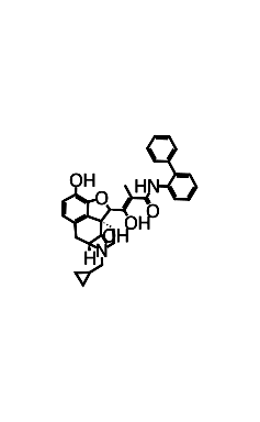 C/C(C(=O)Nc1ccccc1-c1ccccc1)=C(/O)[C@@H]1Oc2c(O)ccc3c2[C@@]12CCN(CC1CC1)[C@H](C3)[C@@]2(C)O